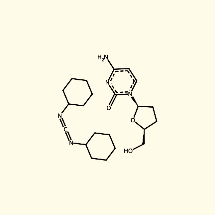 C(=NC1CCCCC1)=NC1CCCCC1.Nc1ccn([C@H]2CC[C@@H](CO)O2)c(=O)n1